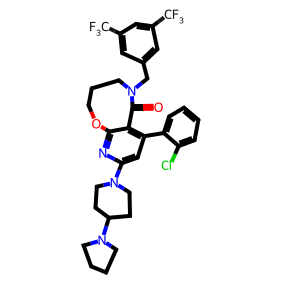 O=C1c2c(-c3ccccc3Cl)cc(N3CCC(N4CCCC4)CC3)nc2OCCCN1Cc1cc(C(F)(F)F)cc(C(F)(F)F)c1